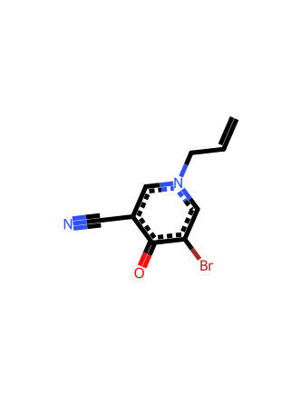 C=CCn1cc(Br)c(=O)c(C#N)c1